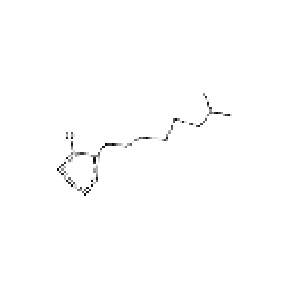 CC(C)CCCCCCc1ccccc1[O]